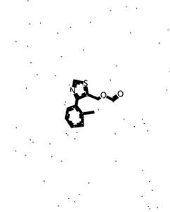 Cc1ccccc1-c1ncsc1CO[C]=O